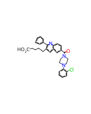 O=C(O)CCCCc1cc2cc(C(=O)N3CCN(c4ccccc4Cl)CC3)ccc2nc1-c1ccccc1